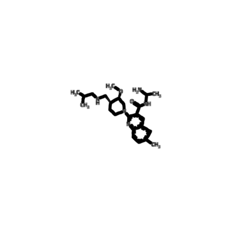 CO[C@H]1CN(c2nc3ccc(C)cc3cc2C(=O)NC(C)N)CC[C@H]1CNCC(C)C